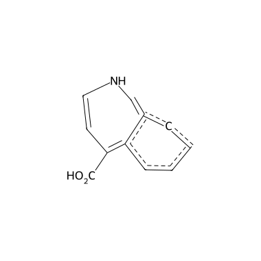 O=C(O)C1=c2ccccc2=CNC=C1